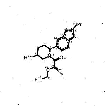 CC1CCC(c2ccc3nn(C(C)C)cc3c2)N(C(=O)C(=O)OCC(F)(F)F)C1